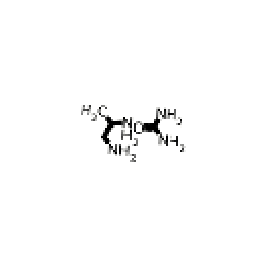 CC(N)CN.NC(N)=O